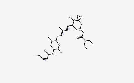 CC/C=C\C(=O)NC1CC(C)C(C/C=C(C)/C=C/C2O[C@H](CC(=O)N(CC)CC)CC3(CO3)[C@@H]2O)OC1C